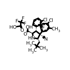 Cc1cc([C@@]2(C#N)[C@H](CC(C)(C)C)N[C@@H](C(=O)O)[C@@H]2c2cccc(Cl)c2F)ccc1Cl.O=C(O)C(F)(F)F